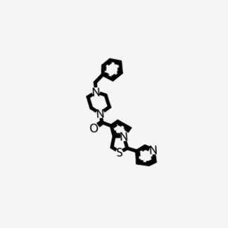 O=C(c1ccn2c1CSC2c1cccnc1)N1CCN(Cc2ccccc2)CC1